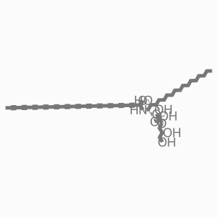 CC#CC#CC#CC#CC#CC#CC#CC#CC#CC#CC#CC#CC(=O)N[C@@H](CO[P@@](=O)(O)OC[C@H](O)CO)[C@H](O)[C@H](O)CCCCCCCCCCCCCC